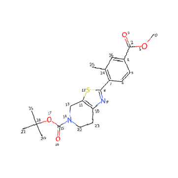 COC(=O)c1ccc(-c2nc3c(s2)CN(C(=O)OC(C)(C)C)CC3)c(C)c1